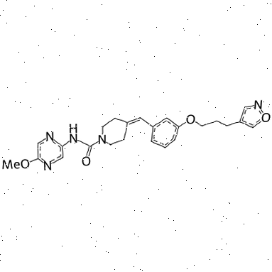 COc1cnc(NC(=O)N2CCC(=Cc3cccc(OCCCc4cnoc4)c3)CC2)cn1